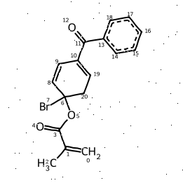 C=C(C)C(=O)OC1(Br)C=CC(C(=O)c2ccccc2)=CC1